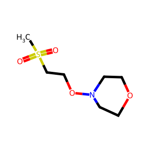 CS(=O)(=O)CCON1CCOCC1